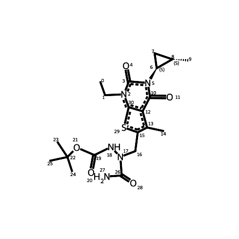 CCn1c(=O)n([C@H]2C[C@@H]2C)c(=O)c2c(C)c(CN(NC(=O)OC(C)(C)C)C(N)=O)sc21